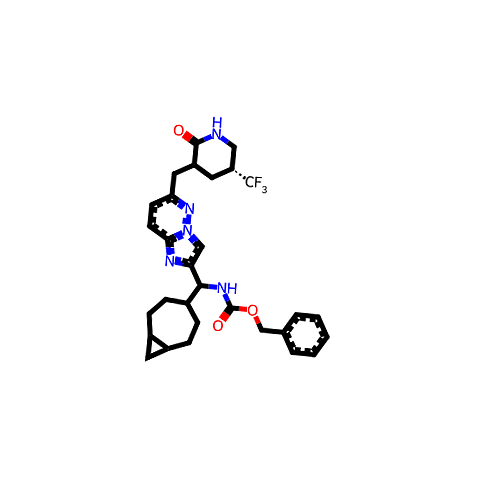 O=C(NC(c1cn2nc(CC3C[C@@H](C(F)(F)F)CNC3=O)ccc2n1)C1CCC2CC2CC1)OCc1ccccc1